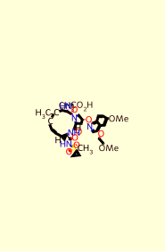 COCCOc1cnc(O[C@@H]2C[C@H]3C(=O)N[C@]4(C(=O)NS(=O)(=O)C5(C)CC5)C[C@H]4C=CCC[C@H](C)C[C@@H](C)[C@H](NC(=O)O)C(=O)N3C2)c2ccc(OC)cc12